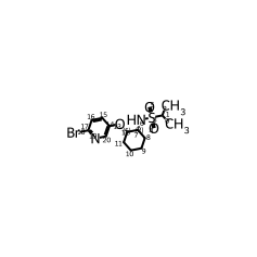 CC(C)S(=O)(=O)N[C@@H]1CCCC[C@@H]1Oc1ccc(Br)nc1